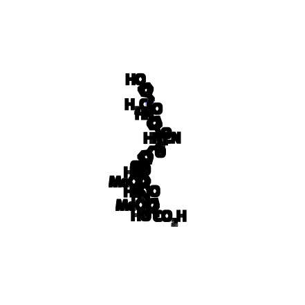 COc1c(NC(=O)c2ccc(NS(=O)(=O)c3ccc(CC(=O)[C@H](CC#N)NC(=O)c4ccc(NC(=O)/C(C)=C/c5ccc(O)cc5)cc4)cc3)c(OC)c2O)ccc(C(=O)O)c1O